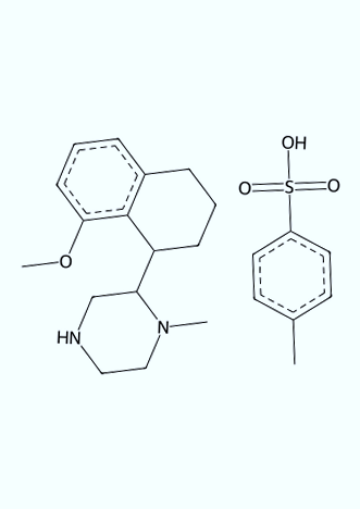 COc1cccc2c1C(C1CNCCN1C)CCC2.Cc1ccc(S(=O)(=O)O)cc1